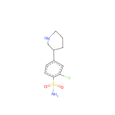 NS(=O)(=O)c1ccc(C2CCCNC2)cc1F